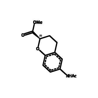 COC(=O)[C@H]1CCc2cc(NC(C)=O)ccc2O1